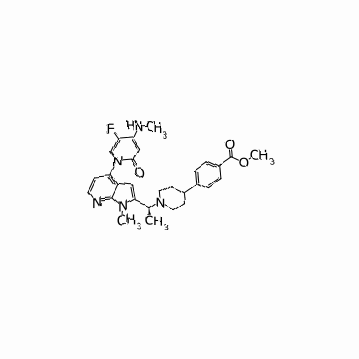 CNc1cc(=O)n(-c2ccnc3c2cc([C@H](C)N2CCC(c4ccc(C(=O)OC)cc4)CC2)n3C)cc1F